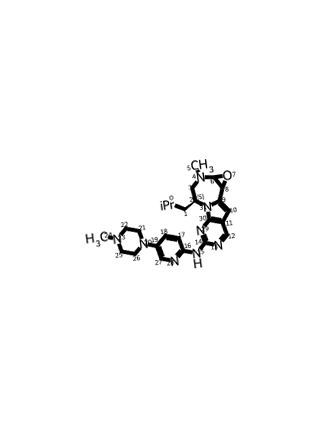 CC(C)C[C@H]1CN(C)C2OC2c2cc3cnc(Nc4ccc(N5CCN(C)CC5)cn4)nc3n21